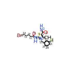 CC1=C(C(N)=O)SC(NC(=O)CCCCBr)N1Cc1cccc(F)c1